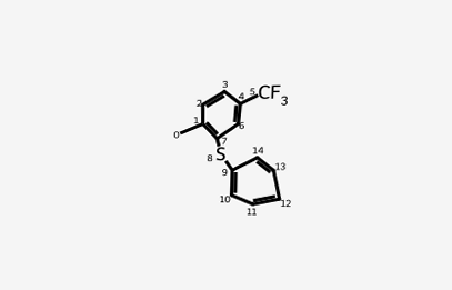 Cc1ccc(C(F)(F)F)cc1Sc1ccccc1